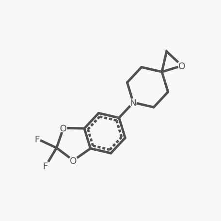 FC1(F)Oc2ccc(N3CCC4(CC3)CO4)cc2O1